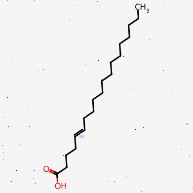 CCCCCCCCCCCCC/C=C/C[CH]CC(=O)O